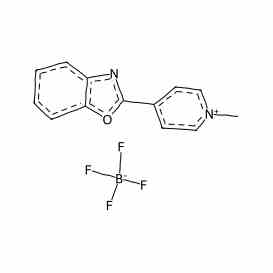 C[n+]1ccc(-c2nc3ccccc3o2)cc1.F[B-](F)(F)F